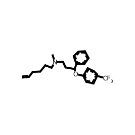 C=CCCCCN(C)CCC(Oc1ccc(C(F)(F)F)cc1)c1ccccc1